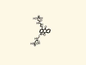 O=C(CP(=O)(O)O)NCCNc1ccc(NCCNC(=O)CP(=O)(O)O)c2c1C(=O)c1ccccc1C2=O